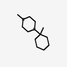 CN1CCN(C2(C)CCCCC2)CC1